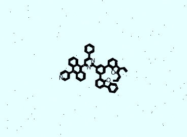 C=Cc1c(/C=C\C)oc2c(-c3cc(-c4nc(-c5ccccc5)cc(-c5c6ccccc6c(-c6ccncc6)c6ccccc56)n4)cc(-c4cccc5c4oc4ccccc45)c3)cccc12